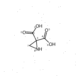 O=C(O)C1(C(=O)O)CN1